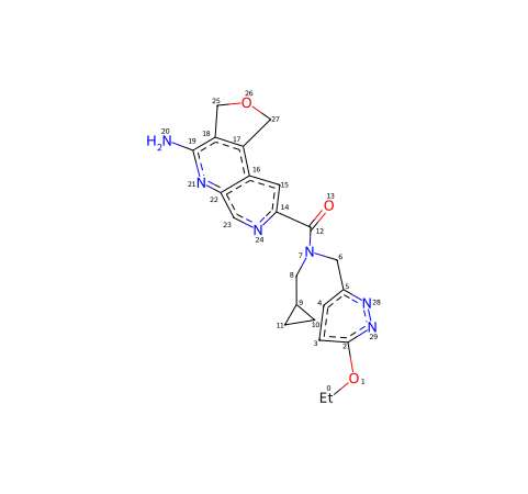 CCOc1ccc(CN(CC2CC2)C(=O)c2cc3c4c(c(N)nc3cn2)COC4)nn1